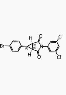 O=C1[C@@H]2[C@H](C(=O)N1c1cc(Cl)cc(Cl)c1)[C@@H]2c1ccc(Br)cc1